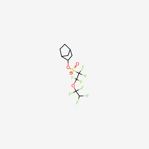 O=S(=O)(OC1CC2CCC1C2)C(F)(F)C(F)(F)OC(F)(F)C(F)F